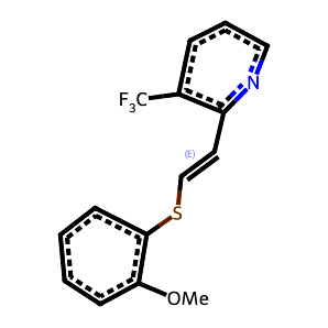 COc1ccccc1S/C=C/c1ncccc1C(F)(F)F